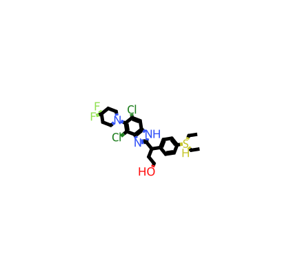 CC[SH](CC)c1ccc(C(CCO)c2nc3c(Cl)c(N4CCC(F)(F)CC4)c(Cl)cc3[nH]2)cc1